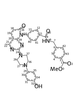 COC(=O)c1ccc(CNC(=O)c2ccc(-n3c(=O)ccc4c(C)nc(N5CCN(c6ccc(O)cc6)CC5)nc43)cc2)cc1